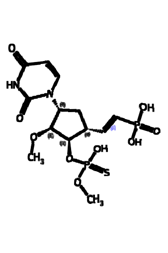 CO[C@@H]1[C@H](OP(O)(=S)OC)[C@@H](/C=C/P(=O)(O)O)C[C@H]1n1ccc(=O)[nH]c1=O